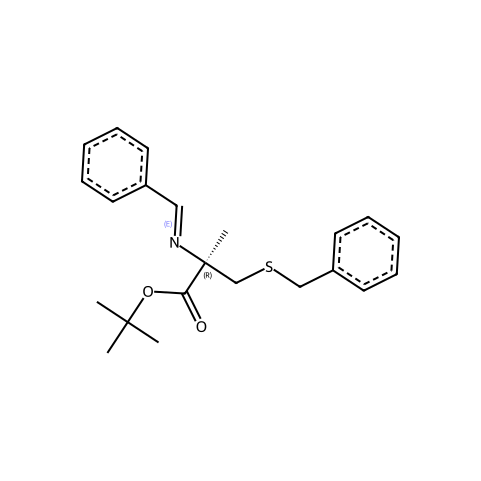 CC(C)(C)OC(=O)[C@](C)(CSCc1ccccc1)/N=C/c1ccccc1